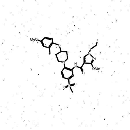 COc1ccc(OC2CCN(c3ccc(S(C)(=O)=O)cc3NC(=O)c3cn(CCF)nc3OC)CC2)c(F)c1